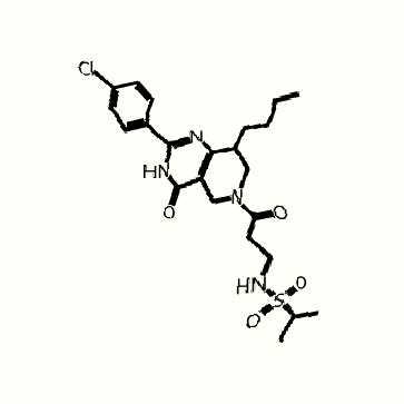 CCCCC1CN(C(=O)CCNS(=O)(=O)C(C)C)Cc2c1nc(-c1ccc(Cl)cc1)[nH]c2=O